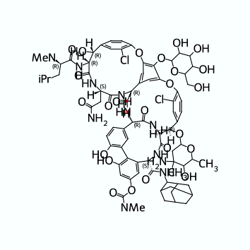 CNC(=O)Oc1cc(O)c2c(c1)[C@@H](C(=O)NC1C3CC4CC(C3)CC1C4)NC(=O)[C@H]1NC(=O)[C@H](NC(=O)[C@@H]3NC(=O)[C@H](CC(N)=O)NC(=O)[C@H](NC(=O)[C@@H](CC(C)C)NC)[C@H](O)c4ccc(c(Cl)c4)Oc4cc3cc(c4OC3OC(CO)C(O)C(O)C3O)Oc3ccc(cc3Cl)[C@H]1OC1CC(C)(N)C(O)C(C)O1)c1ccc(O)c-2c1